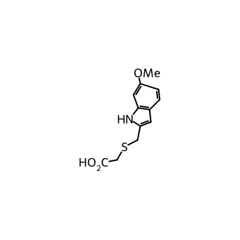 COc1ccc2cc(CSCC(=O)O)[nH]c2c1